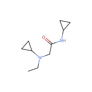 CCN(CC(=O)NC1CC1)C1CC1